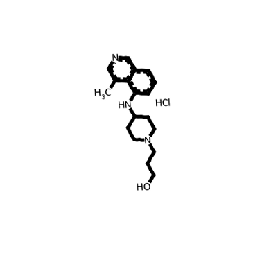 Cc1cncc2cccc(NC3CCN(CCCO)CC3)c12.Cl